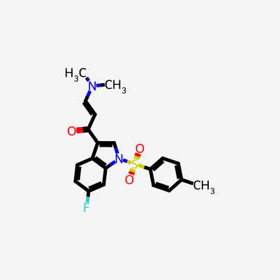 Cc1ccc(S(=O)(=O)n2cc(C(=O)/C=C/N(C)C)c3ccc(F)cc32)cc1